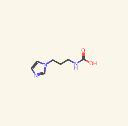 O=C(O)NCCCn1ccnc1